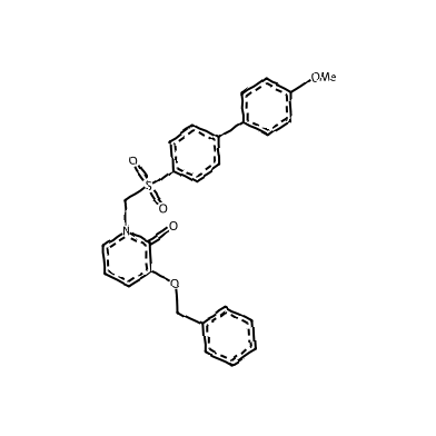 COc1ccc(-c2ccc(S(=O)(=O)Cn3cccc(OCc4ccccc4)c3=O)cc2)cc1